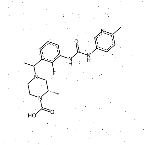 Cc1ccc(NC(=O)Nc2cccc(C(C)N3CCN(C(=O)O)[C@@H](C)C3)c2F)cn1